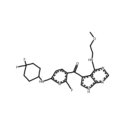 COCCNc1ncnc2[nH]cc(C(=O)c3ccc(NC4CCC(F)(F)CC4)nc3F)c12